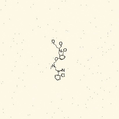 CCN(CCOc1cccc2c1CN(C(C=O)CCC=O)C2=O)CC[C@@H](C#N)c1ccccc1Cl